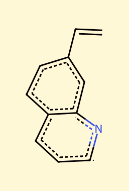 C=Cc1ccc2cc[c]nc2c1